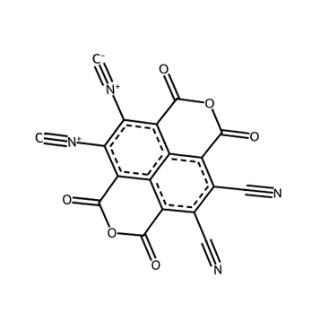 [C-]#[N+]c1c([N+]#[C-])c2c3c(c(C#N)c(C#N)c4c3c1C(=O)OC4=O)C(=O)OC2=O